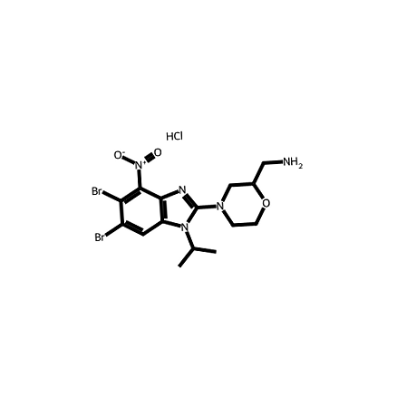 CC(C)n1c(N2CCOC(CN)C2)nc2c([N+](=O)[O-])c(Br)c(Br)cc21.Cl